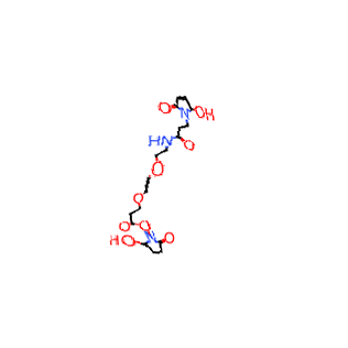 O=C(CCN1C(=O)C=CC1O)NCCOCCOCCC(=O)ON1C(=O)CCC1O